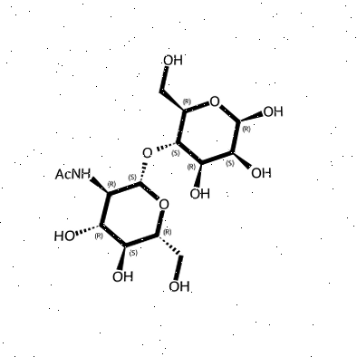 CC(=O)N[C@H]1[C@H](O[C@H]2[C@H](O)[C@H](O)[C@H](O)O[C@@H]2CO)O[C@H](CO)[C@@H](O)[C@@H]1O